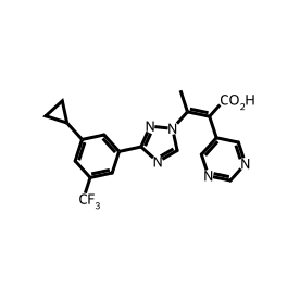 C/C(=C(\C(=O)O)c1cncnc1)n1cnc(-c2cc(C3CC3)cc(C(F)(F)F)c2)n1